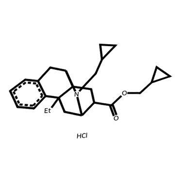 CCC12CC3C(C(=O)OCC4CC4)CC1C(Cc1ccccc12)N3CC1CC1.Cl